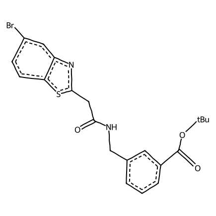 CC(C)(C)OC(=O)c1cccc(CNC(=O)Cc2nc3cc(Br)ccc3s2)c1